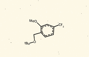 COc1cc(C(F)(F)F)ccc1COC(C)(C)C